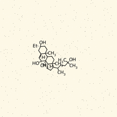 CC[C@]1(O)CC[C@@]2(C)C(=C[C@](C)(O)[C@H]3[C@@H]4CC[C@H]([C@H](C)CCC(C)(C)O)[C@@]4(C)CC[C@@H]32)C1